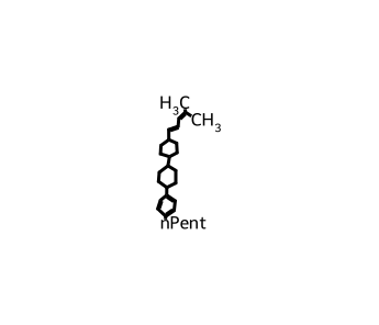 CCCCCc1ccc(C2CCC(C3CCC(/C=C/C=C(C)C)CC3)CC2)cc1